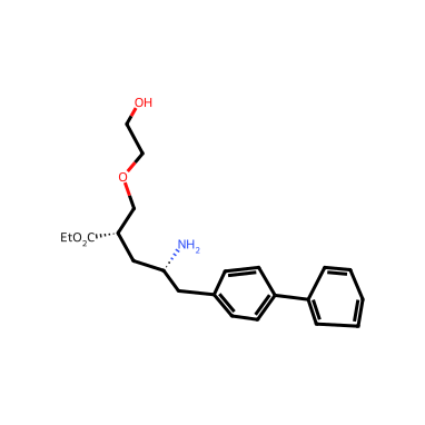 CCOC(=O)[C@H](COCCO)C[C@H](N)Cc1ccc(-c2ccccc2)cc1